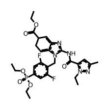 CCOC(=O)C1C=c2nc(NC(=O)c3cc(C)nn3CC)n(Cc3c(F)cc(P(=O)(OCC)OCC)cc3F)c2=CC1